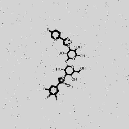 Cn1c(-c2cc(F)c(F)c(F)c2)cn1C1[C@@H](O)C(CO)O[C@@H](SC2O[C@H](O)C(O)C(n3cc(-c4ccc(F)cn4)nn3)[C@H]2O)[C@H]1O